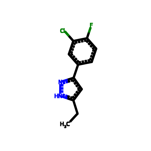 CCc1cc(-c2ccc(F)c(Cl)c2)n[nH]1